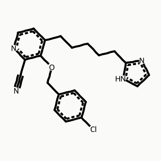 N#Cc1nccc(CCCCCc2ncc[nH]2)c1OCc1ccc(Cl)cc1